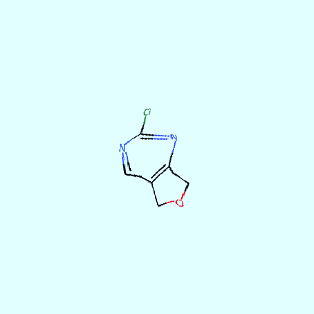 Clc1ncc2c(n1)COC2